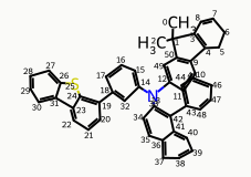 CC1(C)C2=C(CCC=C2)c2ccc(N(c3cccc(-c4cccc5c4sc4ccccc45)c3)c3ccc4ccccc4c3-c3ccccc3)cc21